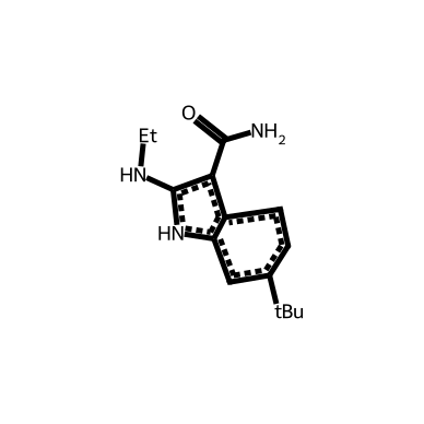 CCNc1[nH]c2cc(C(C)(C)C)ccc2c1C(N)=O